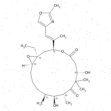 CC[C@]12C[C@@H](C(C)=Cc3coc(C)n3)OC(=O)C[C@H](O)C(C)(C)C(=O)[C@H](C)[C@@H](O)[C@@H](C)CCC[C@H]1O2